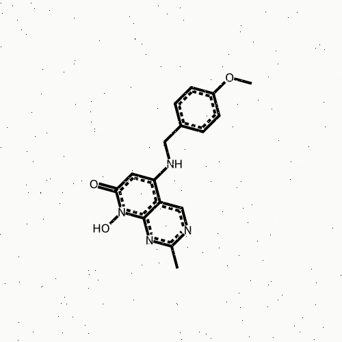 COc1ccc(CNc2cc(=O)n(O)c3nc(C)ncc23)cc1